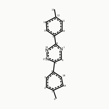 Cc1ccc(-c2cnc(-c3ccc(C)cc3)nn2)cc1